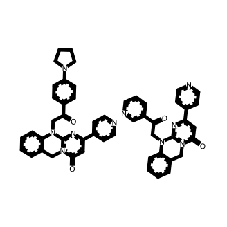 O=C(CN1c2ccccc2Cn2c1nc(-c1ccncc1)cc2=O)c1ccc(N2CCCC2)cc1.O=C(CN1c2ccccc2Cn2c1nc(-c1ccncc1)cc2=O)c1cccnc1